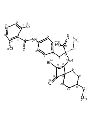 CC[C@@](Cc1ccc(NC(=O)c2c(Cl)cncc2Cl)cc1)(NC1=C(Br)C(=O)C12CCC(OC)CC2)C(=O)O